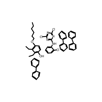 CCCCCCOc1ccc(O)c(CC)c1CC.Clc1nc(Cl)nc(Nc2ccccc2Cl)n1.c1ccc(-c2ccccc2)cc1.c1ccc(-c2ccccc2)cc1.c1ccc(-c2ccccc2)cc1